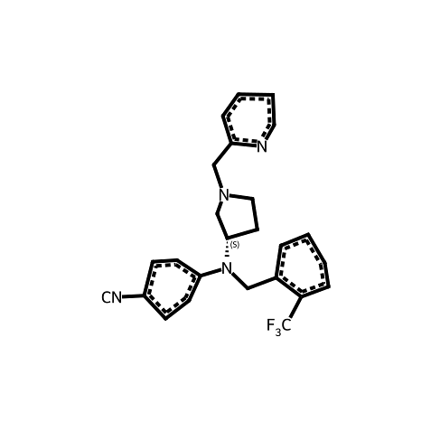 [C-]#[N+]c1ccc(N(Cc2ccccc2C(F)(F)F)[C@H]2CCN(Cc3ccccn3)C2)cc1